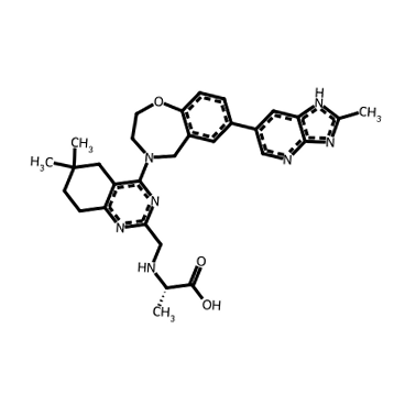 Cc1nc2ncc(-c3ccc4c(c3)CN(c3nc(CN[C@@H](C)C(=O)O)nc5c3CC(C)(C)CC5)CCO4)cc2[nH]1